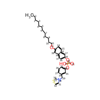 CCCCCCCCCCCCOc1ccc2cc(OP(=O)(O)Oc3cccc(CN4C=CSC4)c3)ccc2c1